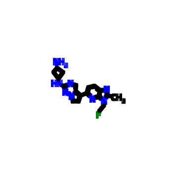 Cc1nc2ccc(-c3ccn4nc(N[C@H]5C[C@H](N)C5)ncc34)nc2n1CCF